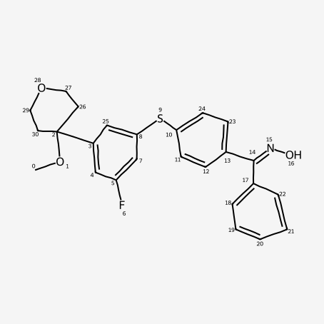 COC1(c2cc(F)cc(Sc3ccc(C(=NO)c4ccccc4)cc3)c2)CCOCC1